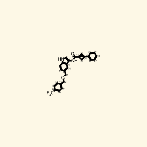 O=C(Nc1c[nH]c2ccc(COCc3ccc(C(F)(F)F)cc3)cc12)C12CC(c3ccccc3)(C1)C2